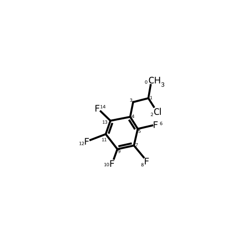 CC(Cl)Cc1c(F)c(F)c(F)c(F)c1F